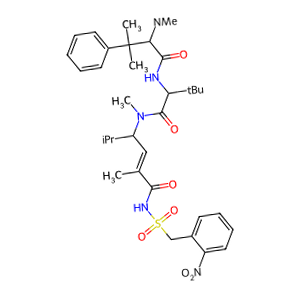 CNC(C(=O)NC(C(=O)N(C)C(/C=C(\C)C(=O)NS(=O)(=O)Cc1ccccc1[N+](=O)[O-])C(C)C)C(C)(C)C)C(C)(C)c1ccccc1